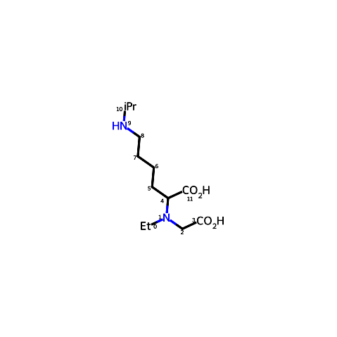 CCN(CC(=O)O)C(CCCCNC(C)C)C(=O)O